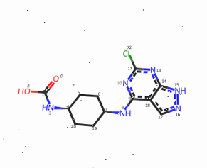 O=C(O)N[C@H]1CC[C@@H](Nc2nc(Cl)nc3[nH]ncc23)CC1